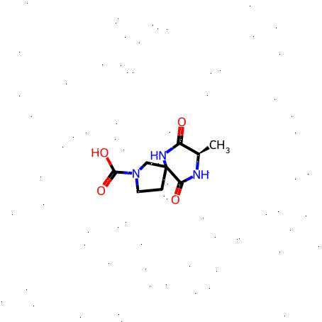 C[C@H]1NC(=O)C2(CCN(C(=O)O)C2)NC1=O